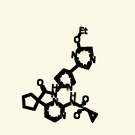 CCOc1cncc(-c2ccc(NC(=O)C3(c4ccnc(NS(=O)(=O)C5CC5)n4)CCCC3)nc2)n1